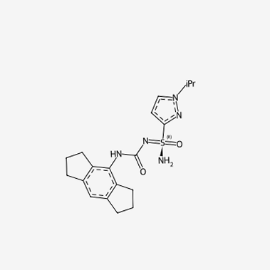 CC(C)n1ccc([S@](N)(=O)=NC(=O)Nc2c3c(cc4c2CCC4)CCC3)n1